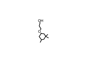 CC1CC(OCCCO)CC(C)(C)C1